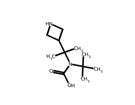 CC(C)(C)N(C(=O)O)C(C)(C)C1CNC1